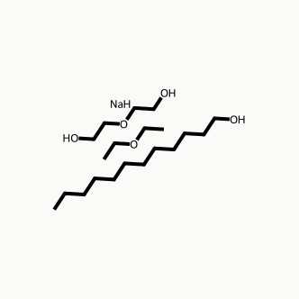 CCCCCCCCCCCCO.CCOCC.OCCOCCO.[NaH]